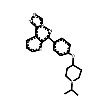 CC(C)N1CCC(Oc2ccc(-c3nn4cnnc4c4cccnc34)cc2)CC1